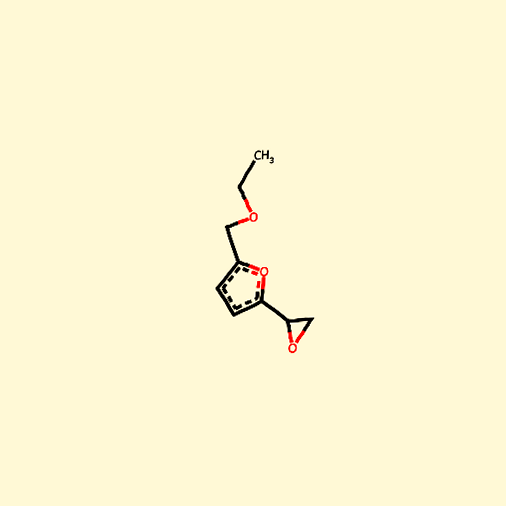 CCOCc1ccc(C2CO2)o1